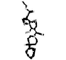 CCOC(=O)c1cnn2c(O)c(C(=O)N3CCC(F)(c4ccccc4)CC3)cnc12